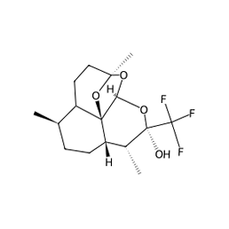 C[C@@H]1CC[C@H]2[C@@H](C)[C@](O)(C(F)(F)F)O[C@@H]3O[C@]4(C)CCC1[C@]32O4